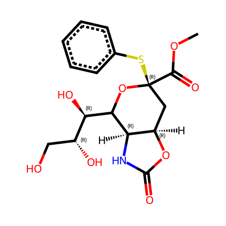 COC(=O)[C@]1(Sc2ccccc2)C[C@H]2OC(=O)N[C@H]2C([C@H](O)[C@H](O)CO)O1